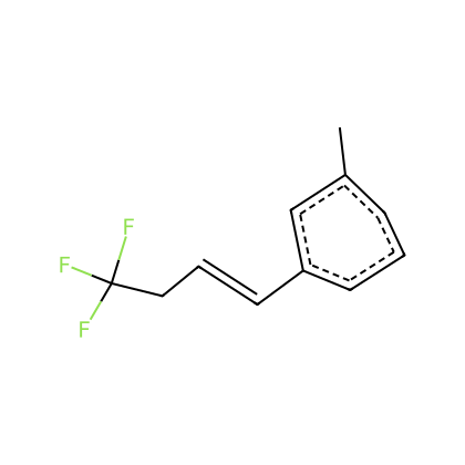 Cc1cccc(C=CCC(F)(F)F)c1